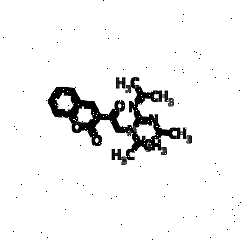 CC(C)=N/C(=N/C(C)C)N(CC(=O)c1cc2ccccc2oc1=O)C(C)C